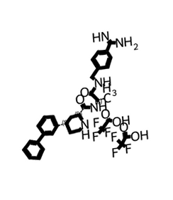 C[C@H](NC(=O)[C@H]1C[C@@H](c2cccc(-c3ccccc3)c2)CCN1)C(=O)NCc1ccc(C(=N)N)cc1.O=C(O)C(F)(F)F.O=C(O)C(F)(F)F